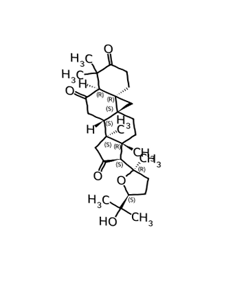 CC(C)(O)[C@@H]1CC[C@](C)([C@H]2C(=O)C[C@@]3(C)[C@@H]4CC(=O)[C@H]5C(C)(C)C(=O)CC[C@@]56C[C@@]46CC[C@]23C)O1